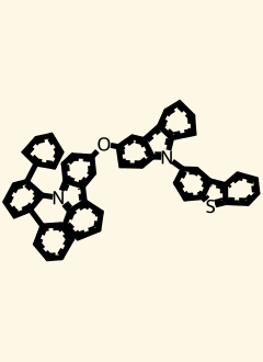 c1ccc(-c2cccc(-c3ccccc3)c2-n2c3ccccc3c3cc(Oc4ccc5c(c4)c4ccccc4n5-c4ccc5sc6ccccc6c5c4)ccc32)cc1